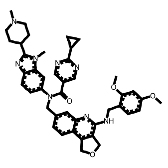 COc1ccc(CNc2nc3cc(CN(C(=O)c4cnc(C5CC5)nc4)c4ccc5nc(C6CCN(C)CC6)n(C)c5c4)ccc3c3c2COC3)c(OC)c1